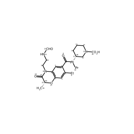 CCc1cc2c(cc1C(=O)N(C(C)C)[C@@H]1CCCN(C(=O)O)C1)N(CCNC=O)C(=O)[C@@H](C)O2